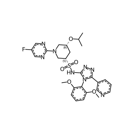 COc1cccc(OC)c1-n1c(NS(=O)(=O)[C@H]2C[C@@H](OC(C)C)CN(c3ncc(F)cn3)C2)nnc1-c1cccnc1